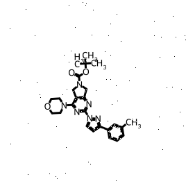 Cc1cccc(-c2ccn(-c3nc4c(c(N5CCOCC5)n3)CN(C(=O)OC(C)(C)C)C4)n2)c1